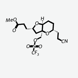 COC(=O)CC[C@H]1C[C@]2(COS(=O)(=O)C(F)(F)F)O[C@@H](CCC#N)CC[C@@H]2O1